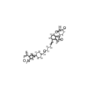 Cn1c(=O)n(C2CCC(=O)NC2=O)c2cccc(C#CCCCOCC3CCC(n4cc([N+](=O)[O-])c(C(F)F)n4)CC3)c21